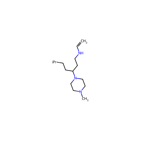 C=CNCCC(CCC(C)C)N1CCN(C)CC1